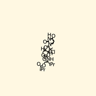 CC(C)C(=O)OC[C@@H](NP1(=O)OC[C@H]2O[C@@H](n3ccc(=O)[nH]c3=O)[C@](C)(Cl)[C@@H]2O1)C(C)C